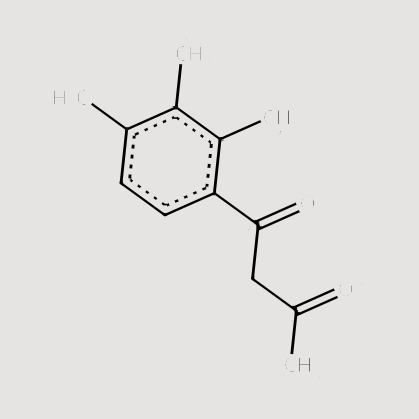 CC(=O)CC(=O)c1ccc(C)c(C)c1C